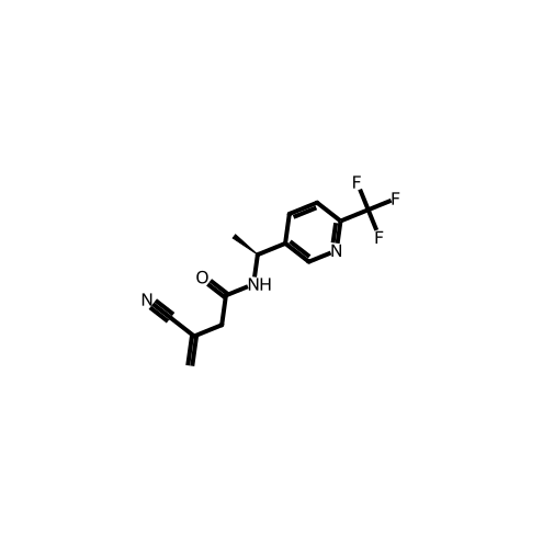 C=C(C#N)CC(=O)N[C@@H](C)c1ccc(C(F)(F)F)nc1